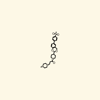 CN1CCN(CCC(=O)N2CCC(C3OCc4cc(-c5ccc(S(C)(=O)=O)cc5)ccc4O3)CC2)CC1